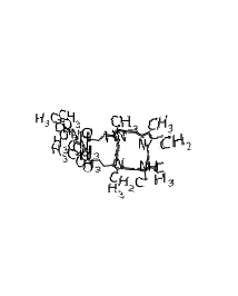 C=CC1=C(C)c2cc3[nH]c(cc4nc(cc5[nH]c(cc1n2)c(C)c5C=C)C(C)=C4CCC(=O)OC(C)(C)C)c(CCC(=O)NC(C)NC(=O)OC(C)(C)C)c3C